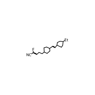 CCC1CCC(C=CC2CCC(CCC=C(F)C#N)CC2)CC1